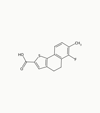 Cc1ccc2c(c1F)CCc1cc(C(=O)O)sc1-2